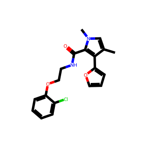 Cc1cn(C)c(C(=O)NCCOc2ccccc2Cl)c1-c1ccco1